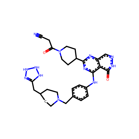 N#CCC(=O)N1CCC(c2nc(Nc3ccc(CN4CCC(CC5=NNNN5)CC4)cc3)c3c(=O)[nH]ncc3n2)CC1